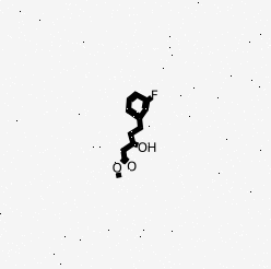 COC(=O)CC(O)CCc1cccc(F)c1